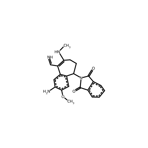 CNC1=C(C=N)c2cc(N)c(OC)cc2C(N2C(=O)c3ccccc3C2=O)CC1